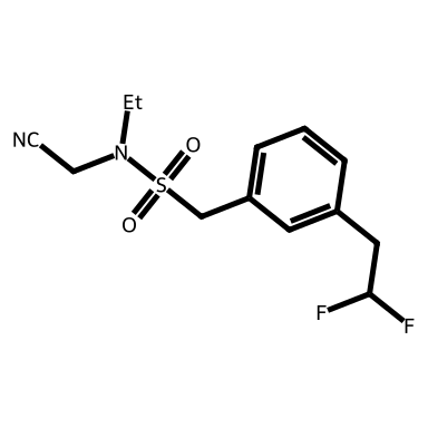 CCN(CC#N)S(=O)(=O)Cc1cccc(CC(F)F)c1